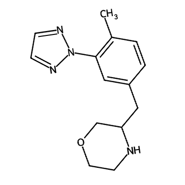 Cc1ccc(CC2COCCN2)cc1-n1nccn1